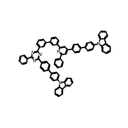 c1ccc(-c2cc(-c3ccc(-c4ccc(-n5c6ccccc6c6ccccc65)cc4)cc3)cc(-c3cccc(-c4cccc(-c5nc(-c6ccccc6)nc(-c6ccc(-c7ccc(-n8c9ccccc9c9ccccc98)cc7)cc6)n5)c4)c3)n2)cc1